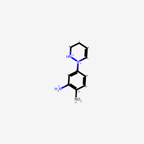 Nc1cc(N2C=CCCN2)ccc1[N+](=O)[O-]